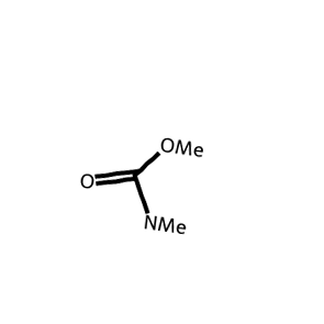 [CH2]NC(=O)OC